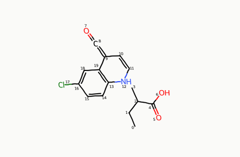 CCC(C)C(=O)O.O=C=C1C=CNc2ccc(Cl)cc21